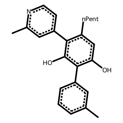 CCCCCc1cc(O)c(-c2cccc(C)c2)c(O)c1-c1ccnc(C)c1